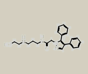 O=C(Cn1ncc(-c2ccccc2)c1-c1ccccc1)NCCCNCCO